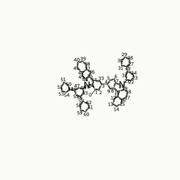 Cc1cc(-c2ccc3c(c2)c2c4ccccc4ccc2n3-c2cccc(-c3ccccc3)c2)cc2c3cc4ccccc4cc3n(-c3cc(-c4ccccc4)cc(-c4ccccc4)c3)c12